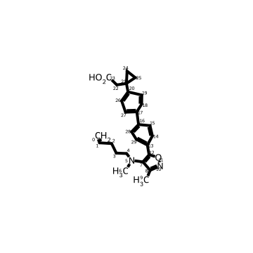 C=CCCCN(C)c1c(C)noc1-c1ccc(-c2ccc(C3(CC(=O)O)CC3)cc2)cc1